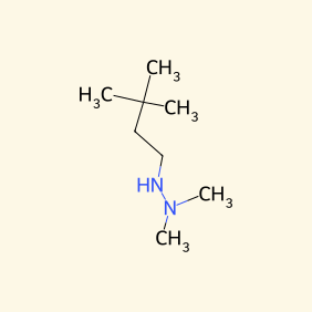 CN(C)NCCC(C)(C)C